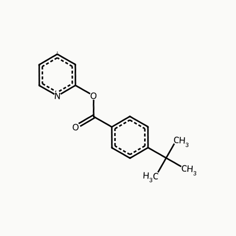 CC(C)(C)c1ccc(C(=O)Oc2c[c]ccn2)cc1